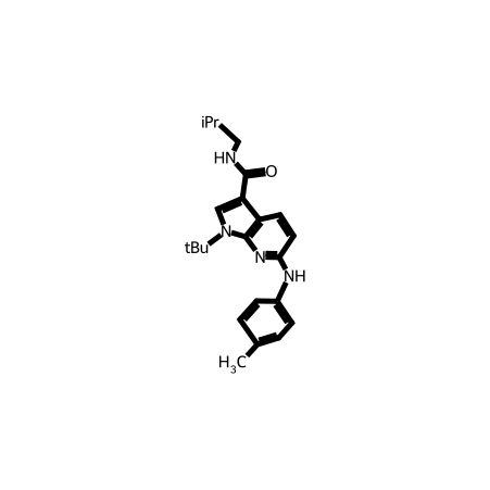 Cc1ccc(Nc2ccc3c(C(=O)NCC(C)C)cn(C(C)(C)C)c3n2)cc1